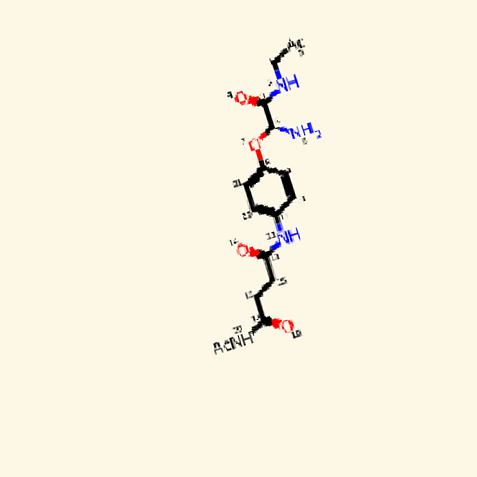 CC(=O)CNC(=O)[C@@H](N)Oc1ccc(NC(=O)CCC(=O)NC(C)=O)cc1